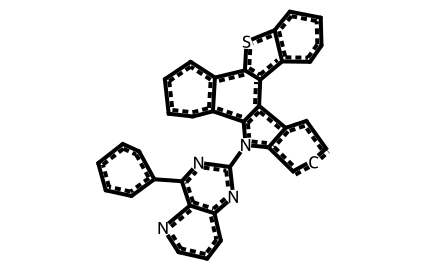 c1ccc(-c2nc(-n3c4ccccc4c4c5c6ccccc6sc5c5ccccc5c43)nc3cccnc23)cc1